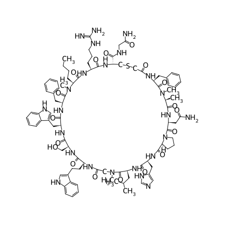 CCCC[C@H]1C(=O)N[C@@H](CCCNC(=N)N)C(=O)N[C@H](C(=O)NCC(N)=O)CSCC(=O)N[C@@H](Cc2ccccc2)C(=O)N(C)[C@@H](C)C(=O)N[C@@H](CC(N)=O)C(=O)N2CCC[C@H]2C(=O)N[C@@H](Cc2cnc[nH]2)C(=O)N[C@@H](CC(C)C)C(=O)N(C)CC(=O)N[C@@H](CCc2c[nH]c3ccccc23)C(=O)N[C@@H](CO)C(=O)N[C@@H](Cc2c[nH]c3ccccc23)C(=O)N[C@@H](Cc2ccccc2)C(=O)N1C